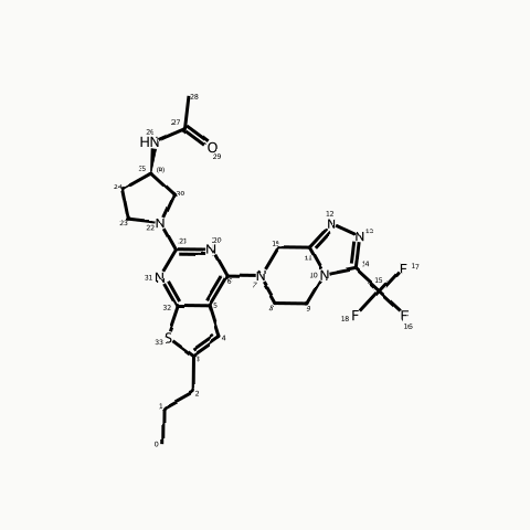 CCCc1cc2c(N3CCn4c(nnc4C(F)(F)F)C3)nc(N3CC[C@@H](NC(C)=O)C3)nc2s1